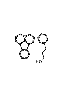 OCCCc1ccccc1.c1ccc2c(c1)-c1cccc3cccc-2c13